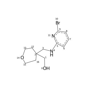 OCC1(CNc2cccc(Br)n2)CCOCC1